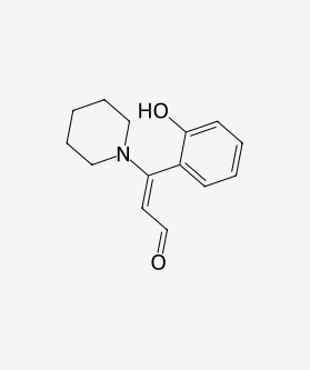 O=C/C=C(\c1ccccc1O)N1CCCCC1